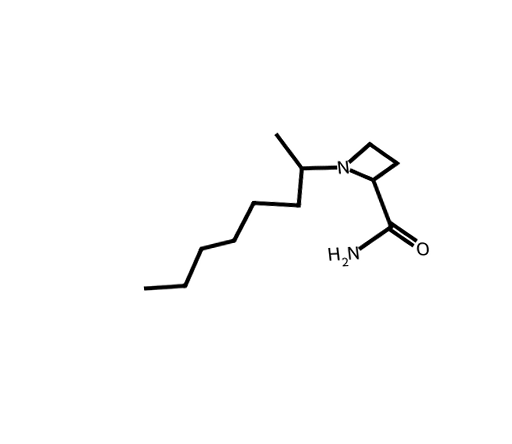 CCCCCCC(C)N1CCC1C(N)=O